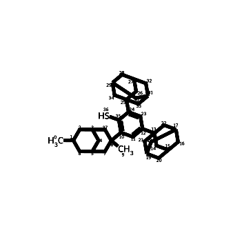 CC1CC2CC(C1)CC(C)(c1cc(C34CC5CC(CC(C5)C3)C4)cc(C34CC5CC(CC(C5)C3)C4)c1S)C2